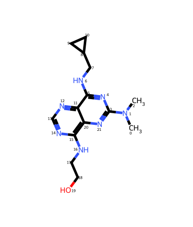 CN(C)c1nc(NCC2CC2)c2ncnc(NCCO)c2n1